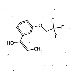 C/C=C(/O)c1cccc(OCC(F)(F)F)c1